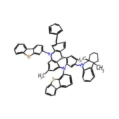 Cc1cc2c3c(c1)N(c1cccc4c1sc1ccccc14)c1cc(N4c5ccccc5C5(C)CCCCC45C)ccc1B3c1ccc(-c3ccccc3)cc1N2c1ccc2c(c1)sc1ccccc12